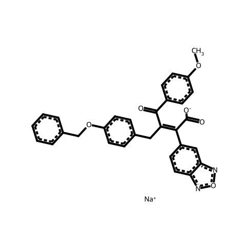 COc1ccc(C(=O)C(Cc2ccc(OCc3ccccc3)cc2)=C(C(=O)[O-])c2ccc3nonc3c2)cc1.[Na+]